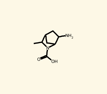 CC1C2CC(N)C(C2)N1C(=O)O